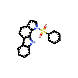 O=S(=O)(c1ccccc1)n1ccc2ccc3c4ccccc4[nH]c3c21